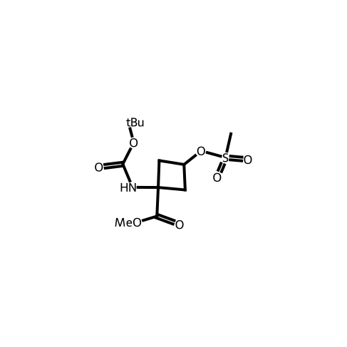 COC(=O)C1(NC(=O)OC(C)(C)C)CC(OS(C)(=O)=O)C1